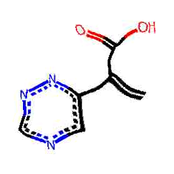 C=C(C(=O)O)c1cncnn1